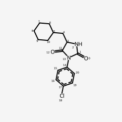 O=C1NC(CC2CCCCC2)C(=O)N1c1ccc(Cl)cc1